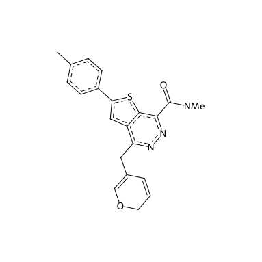 CNC(=O)c1nnc(CC2=COCC=C2)c2cc(-c3ccc(C)cc3)sc12